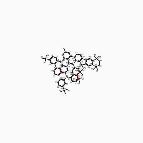 Cc1cc2c3c(c1)N(c1ccc(C(C)(C)C)cc1-c1ccccc1)c1ccc(N(c4cccc(C(C)(C)C)c4)c4cccc(C(C)(C)C)c4)cc1B3N(c1ccc(C(C)(C)C)cc1)c1c-2ccc2c1C(C)(C)c1cc3c(cc1-2)C(C)(C)CCC3(C)C